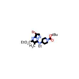 CCOC(=O)c1nc2c(Br)cnn2c(N(CC)C2CCN(C(=O)OC(C)(C)C)CC2)c1C